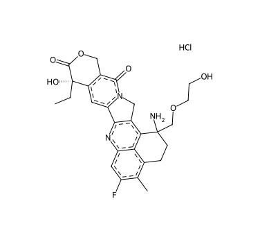 CC[C@@]1(O)C(=O)OCc2c1cc1n(c2=O)Cc2c-1nc1cc(F)c(C)c3c1c2C(N)(COCCO)CC3.Cl